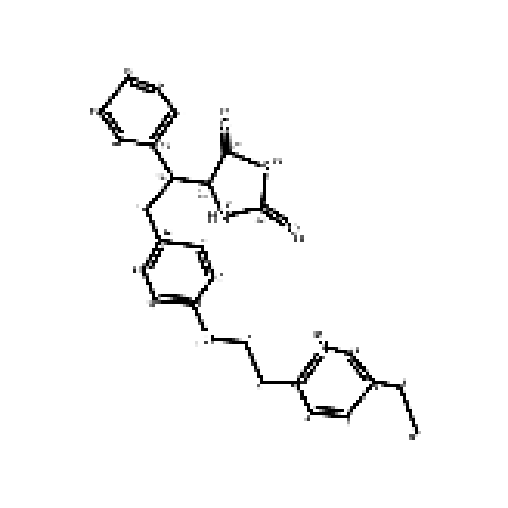 CCc1ccc(CCOc2ccc(CC(c3ccccc3)C3NC(=O)SC3=O)cc2)nc1